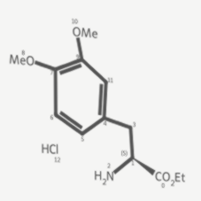 CCOC(=O)[C@@H](N)Cc1ccc(OC)c(OC)c1.Cl